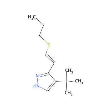 CCCSC=Cc1n[nH]cc1C(C)(C)C